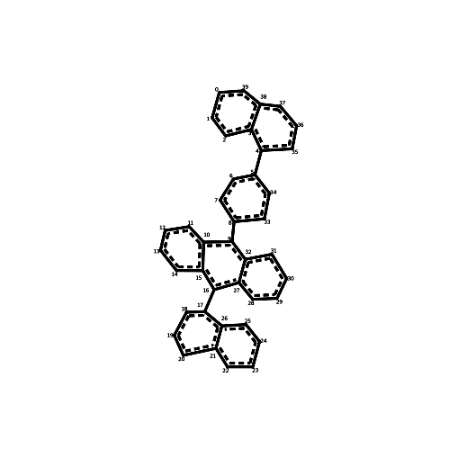 c1ccc2c(-c3ccc(-c4c5ccccc5c(-c5cccc6ccccc56)c5ccccc45)cc3)cccc2c1